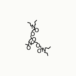 CCCN(CCC)C(=O)COCC1CN(C(C)=O)CC(COCC(=O)N(CCC)CCC)O1